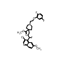 COC(=O)C1(CCC(F)c2c(Cl)cnc3ccc(OC)cc23)CCN(CCOc2cc(F)ccc2F)CC1